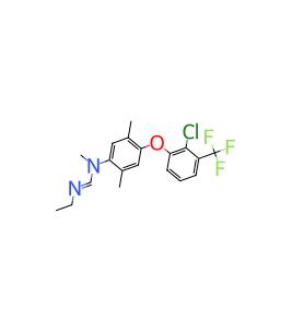 CCN=CN(C)c1cc(C)c(Oc2cccc(C(F)(F)F)c2Cl)cc1C